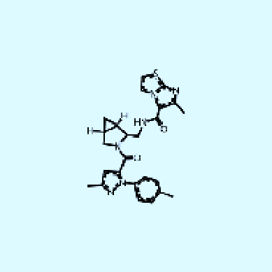 Cc1ccc(-n2nc(C)cc2C(=O)N2C[C@@H]3C[C@@H]3[C@H]2CNC(=O)c2c(C)nc3sccn23)cc1